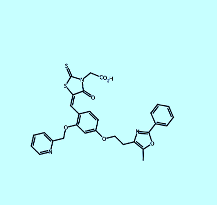 Cc1oc(-c2ccccc2)nc1CCOc1ccc(C=C2SC(=S)N(CC(=O)O)C2=O)c(OCc2ccccn2)c1